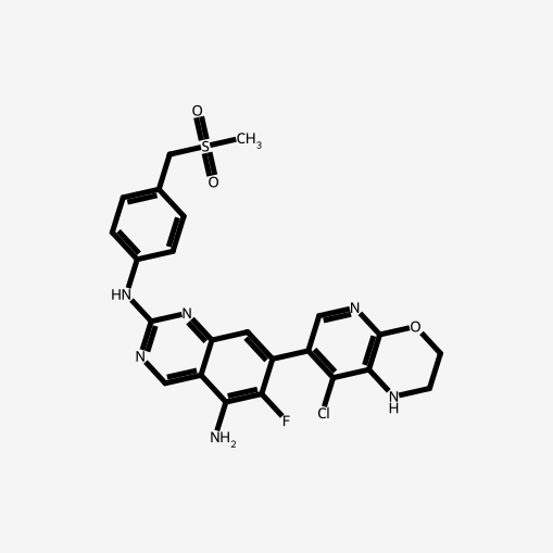 CS(=O)(=O)Cc1ccc(Nc2ncc3c(N)c(F)c(-c4cnc5c(c4Cl)NCCO5)cc3n2)cc1